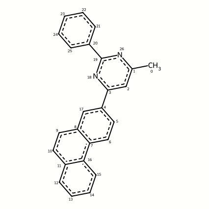 Cc1cc(-c2ccc3c(ccc4ccccc43)c2)nc(-c2ccccc2)n1